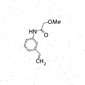 C=Cc1cccc(NC(=O)COC)c1